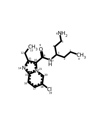 CCCC(CCN)NC(=O)c1c(CC)nc2ccc(Cl)cn12